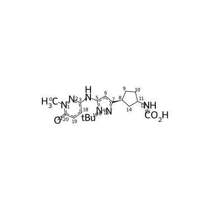 Cn1nc(Nc2cc([C@H]3CCC(NC(=O)O)C3)nn2C(C)(C)C)ccc1=O